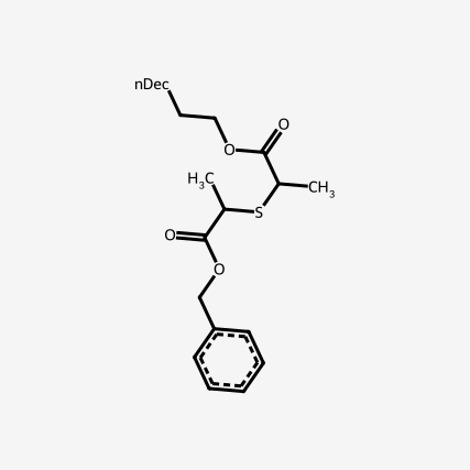 CCCCCCCCCCCCOC(=O)C(C)SC(C)C(=O)OCc1ccccc1